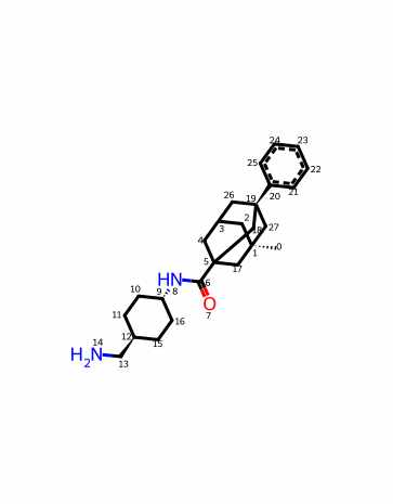 C[C@@]12CC3CC(C(=O)N[C@H]4CC[C@H](CN)CC4)(C1)C[C@](c1ccccc1)(C3)C2